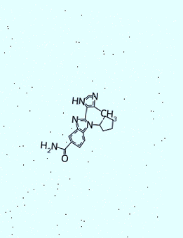 Cc1nc[nH]c1-c1nc2cc(C(N)=O)ccc2n1C1CCCC1